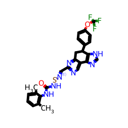 Cc1cccc(C)c1NC(=O)NS/N=C/c1ncc2c(n1)CC(c1ccc(OC(F)(F)F)cc1)c1[nH]cnc1-2